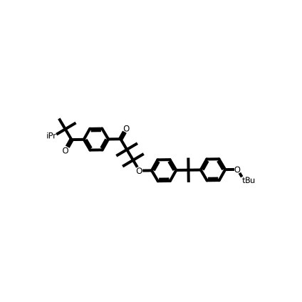 CC(C)C(C)(C)C(=O)c1ccc(C(=O)C(C)(C)C(C)(C)Oc2ccc(C(C)(C)c3ccc(OC(C)(C)C)cc3)cc2)cc1